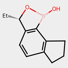 CC[C@@H]1OB(O)c2c1ccc1c2CCC1